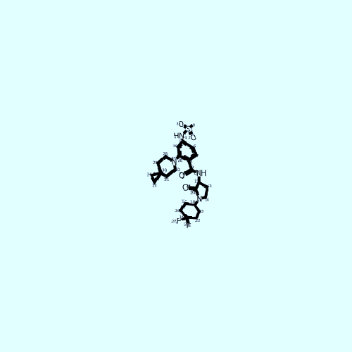 CS(=O)(=O)Nc1ccc(C(=O)NC2CCN(C3CCC(F)(F)CC3)C2=O)c(N2CCC3(CC2)CC3)c1